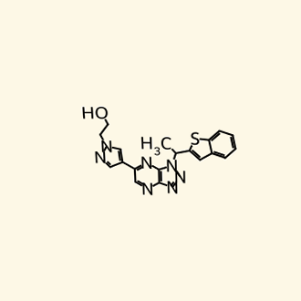 CC(c1cc2ccccc2s1)n1nnc2ncc(-c3cnn(CCO)c3)nc21